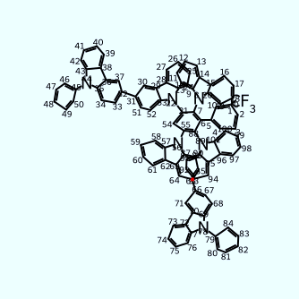 FC(F)(F)c1cccc(-c2c(-n3c4ccccc4c4ccccc43)c(-n3c4ccccc4c4cc(-c5ccc6c(c5)c5ccccc5n6-c5ccccc5)ccc43)cc(-n3c4ccccc4c4cc(-c5ccc6c(c5)c5ccccc5n6-c5ccccc5)ccc43)c2-n2c3ccccc3c3ccccc32)c1